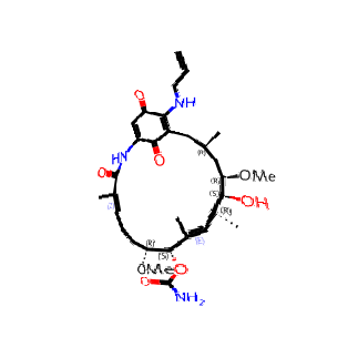 C=CCNC1=C2C[C@@H](C)C[C@@H](OC)[C@@H](O)[C@H](C)/C=C(\C)[C@H](OC(N)=O)[C@H](OC)CC/C=C(/C)C(=O)NC(=CC1=O)C2=O